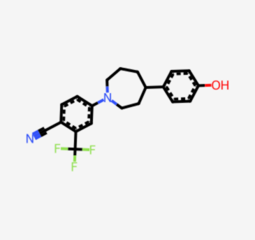 N#Cc1ccc(N2CCCC(c3ccc(O)cc3)CC2)cc1C(F)(F)F